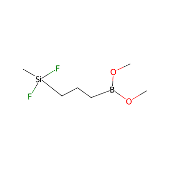 COB(CCC[Si](C)(F)F)OC